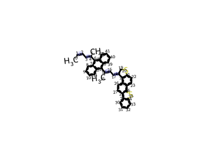 C/C=C\C=C(/C)c1c2ccccc2c(/C(C)=C/C=C2\CSc3ccc4c(ccc5c6ccccc6sc45)c32)c2ccccc12